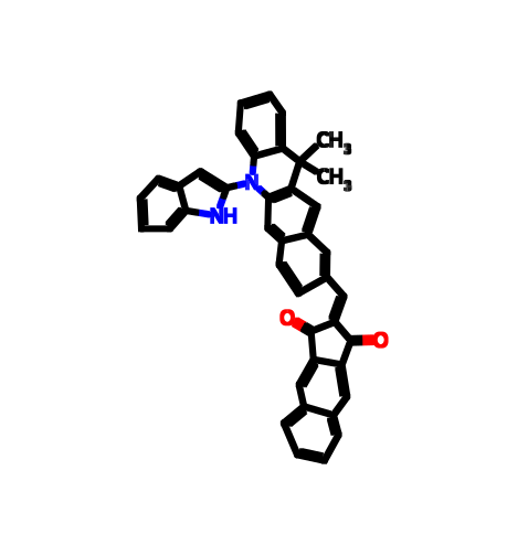 CC1(C)c2ccccc2N(c2cc3ccccc3[nH]2)c2cc3ccc(C=C4C(=O)c5cc6ccccc6cc5C4=O)cc3cc21